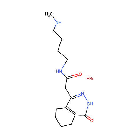 Br.CNCCCCNC(=O)Cc1n[nH]c(=O)c2c1CCCC2